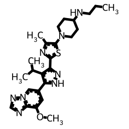 CCCNC1CCN(c2sc(-c3n[nH]c(-c4cc(OC)c5ncnn5c4)c3C(C)C)nc2C)CC1